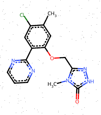 Cc1cc(OCc2n[nH]c(=O)n2C)c(-c2ncccn2)cc1Cl